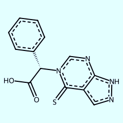 O=C(O)[C@H](c1ccccc1)n1cnc2[nH]ncc2c1=S